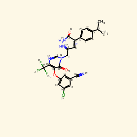 CC(C)c1ccc(/C(=C/C(=N)Cn2cnc(C(F)(F)F)c(Oc3cc(Cl)cc(C#N)c3)c2=O)C(N)=O)cc1